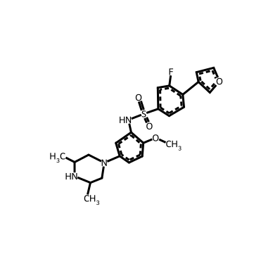 COc1ccc(N2CC(C)NC(C)C2)cc1NS(=O)(=O)c1ccc(-c2ccoc2)c(F)c1